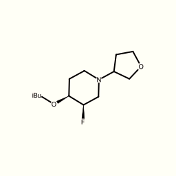 CCC(C)O[C@H]1CCN(C2CCOC2)C[C@H]1F